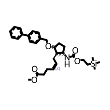 COC(=O)CC/C=C\C[C@@H]1[C@@H](NC(=O)OCC[Si](C)(C)C)CC[C@@H]1OCc1ccc(-c2ccccc2)cc1